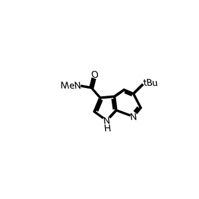 CNC(=O)c1c[nH]c2ncc(C(C)(C)C)cc12